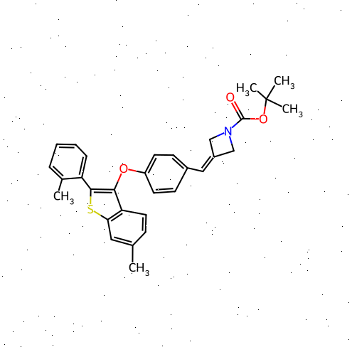 Cc1ccc2c(Oc3ccc(C=C4CN(C(=O)OC(C)(C)C)C4)cc3)c(-c3ccccc3C)sc2c1